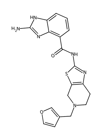 Nc1nc2c(C(=O)Nc3nc4c(s3)CN(Cc3ccoc3)CC4)cccc2[nH]1